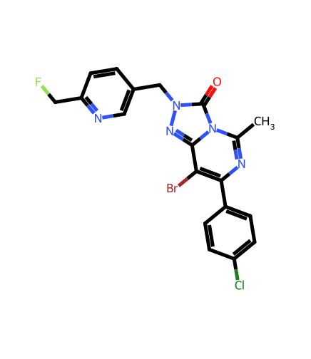 Cc1nc(-c2ccc(Cl)cc2)c(Br)c2nn(Cc3ccc(CF)nc3)c(=O)n12